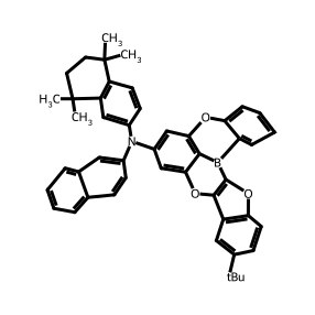 CC(C)(C)c1ccc2oc3c(c2c1)Oc1cc(N(c2ccc4c(c2)C(C)(C)CCC4(C)C)c2ccc4ccccc4c2)cc2c1B3c1ccccc1O2